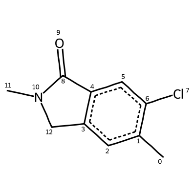 Cc1cc2c(cc1Cl)C(=O)N(C)C2